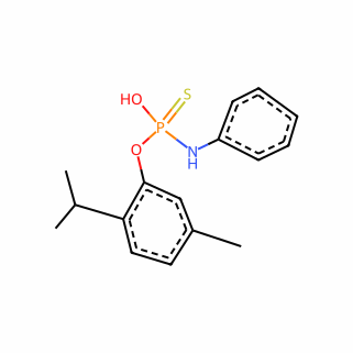 Cc1ccc(C(C)C)c(OP(O)(=S)Nc2ccccc2)c1